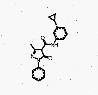 CC1=NN(c2ccccc2)C(=O)C1C(=O)Nc1cccc(C2CC2)c1